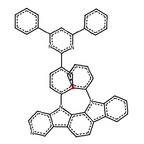 c1ccc(-c2cc(-c3ccccc3)nc(-c3ccc(-n4c5ccncc5c5ccc6c7ccccc7n(-c7ccccc7)c6c54)cc3)n2)cc1